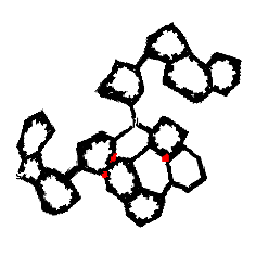 c1cc(-c2cccc3c2ccc2ccccc23)cc(N(c2ccc(-c3cccc4sc5ccccc5c34)cc2)c2ccccc2-c2cccc3cccc(C4CCCCC4)c23)c1